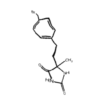 CC1(CCc2ccc(Br)cc2)NC(=O)NC1=O